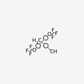 C#Cc1ccc(C(C)(c2ccc(OC(F)=C(F)F)cc2)c2ccc(OC(F)=C(F)F)cc2)cc1